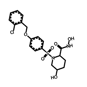 O=C(NO)C1CCC(O)CN1S(=O)(=O)c1ccc(OCc2ccccc2Cl)cc1